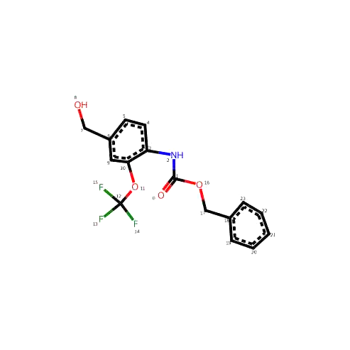 O=C(Nc1ccc(CO)cc1OC(F)(F)F)OCc1ccccc1